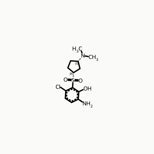 CN(C)[C@H]1CC[C@@H](S(=O)(=O)c2c(Cl)ccc(N)c2O)C1